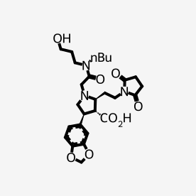 CCCCN(CCCO)C(=O)CN1C[C@H](c2ccc3c(c2)OCO3)[C@@H](C(=O)O)[C@@H]1CCN1C(=O)CCC1=O